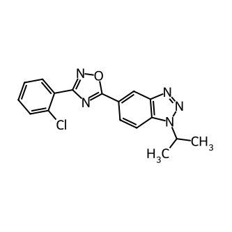 CC(C)n1nnc2cc(-c3nc(-c4ccccc4Cl)no3)ccc21